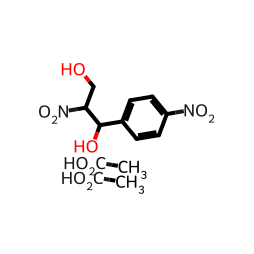 CC(=O)O.CC(=O)O.O=[N+]([O-])c1ccc(C(O)C(CO)[N+](=O)[O-])cc1